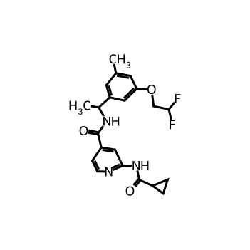 Cc1cc(OCC(F)F)cc(C(C)NC(=O)c2ccnc(NC(=O)C3CC3)c2)c1